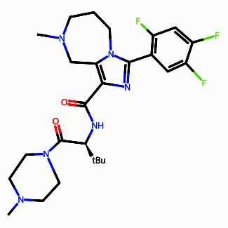 CN1CCN(C(=O)[C@@H](NC(=O)c2nc(-c3cc(F)c(F)cc3F)n3c2CN(C)CCC3)C(C)(C)C)CC1